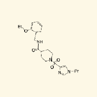 CCOc1ccccc1CNC(=O)C1CCN(S(=O)(=O)c2cn(C(C)C)cn2)CC1